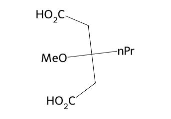 [CH2]CCC(CC(=O)O)(CC(=O)O)OC